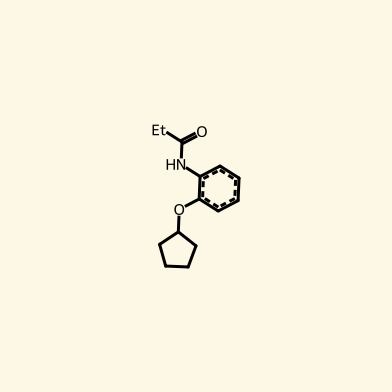 CCC(=O)Nc1ccccc1OC1CCCC1